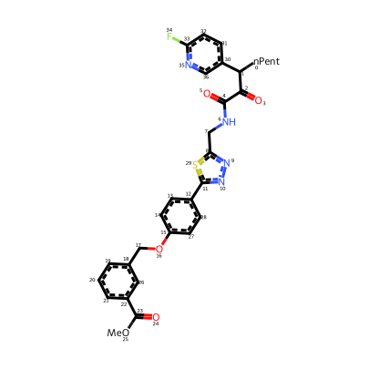 CCCCCC(C(=O)C(=O)NCc1nnc(-c2ccc(OCc3cccc(C(=O)OC)c3)cc2)s1)c1ccc(F)nc1